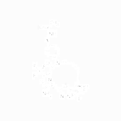 CC(=O)NC[C@H]1CC[C@H](N2CCCCC[C@](O)(C(F)(F)F)c3nnc(o3)-c3nc(c(C(F)(F)F)cc3N)C2=O)CC1